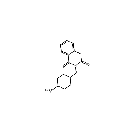 O=C(O)C1CCC(CN2C(=O)Cc3ccccc3C2=O)CC1